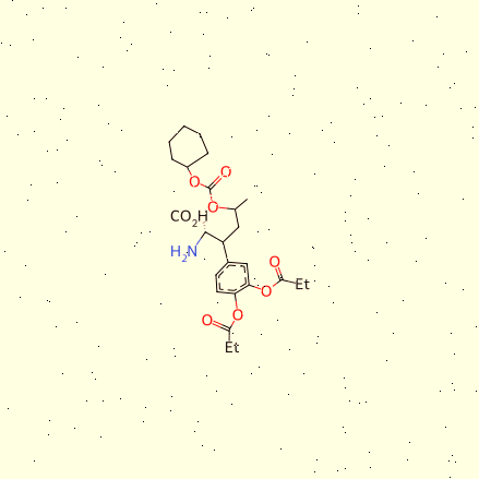 CCC(=O)Oc1ccc(C(CC(C)OC(=O)OC2CCCCC2)[C@H](N)C(=O)O)cc1OC(=O)CC